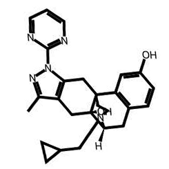 Cc1nn(-c2ncccn2)c2c1C[C@@]1(O)[C@H]3Cc4ccc(O)cc4[C@@]1(CCN3CC1CC1)C2